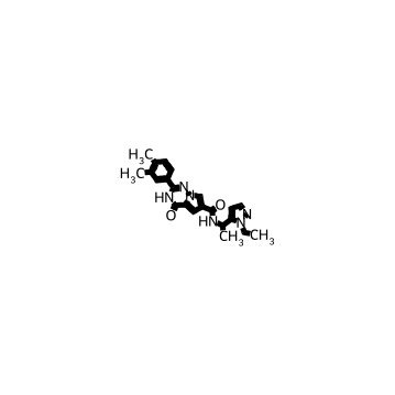 CCn1nccc1C(C)NC(=O)c1cc2c(=O)[nH]c(-c3ccc(C)c(C)c3)nn2c1